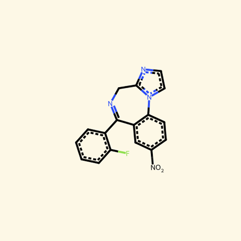 O=[N+]([O-])c1ccc2c(c1)C(c1ccccc1F)=NCc1nccn1-2